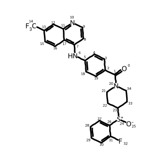 O=C(c1ccc(Nc2ccnc3cc(C(F)(F)F)ccc23)cc1)N1CCC([S+]([O-])c2ccccc2F)CC1